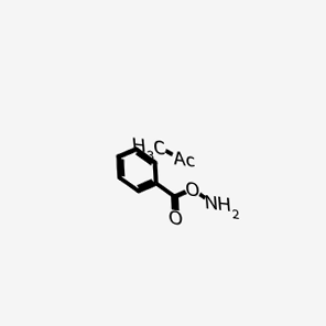 CC(C)=O.NOC(=O)c1ccccc1